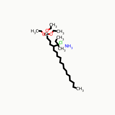 CCCCCCCCCCCCCCC(CCC[Si](OCC)(OCC)OCC)C(C)(Cl)CC.N